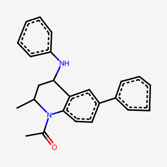 CC(=O)N1c2ccc(-c3ccccc3)cc2C(Nc2ccccc2)CC1C